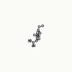 c1ccc(-c2cccc(-c3ccc4oc5c(-c6nc(-c7ccccc7)nc(-c7cccc8c7sc7cc(-c9cc(-c%10cccnc%10)cc(-c%10ccccn%10)c9)ccc78)n6)cccc5c4c3)c2)cc1